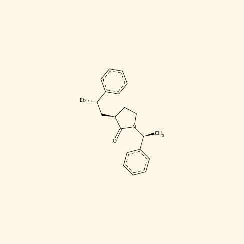 CC[C@@H](C[C@H]1CCN([C@@H](C)c2ccccc2)C1=O)c1ccccc1